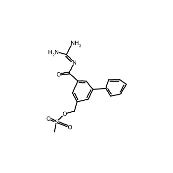 CS(=O)(=O)OCc1cc(C(=O)N=C(N)N)cc(-c2ccccc2)c1